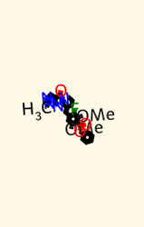 COc1cc(/C=C2\CCCn3c2nc2c(cnn2C)c3=O)c(F)c(OC)c1C(=O)Oc1ccccc1